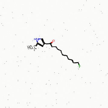 O=C(CCCCCCCCCCF)c1c[nH]c(C(=O)O)c1